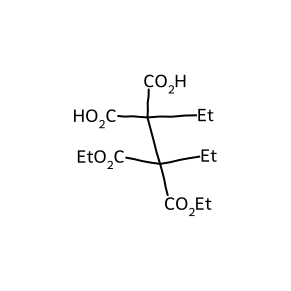 CCOC(=O)C(CC)(C(=O)OCC)C(CC)(C(=O)O)C(=O)O